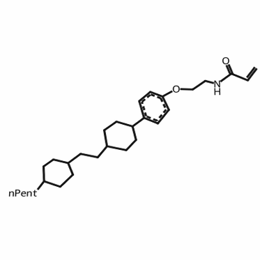 C=CC(=O)NCCOc1ccc(C2CCC(CCC3CCC(CCCCC)CC3)CC2)cc1